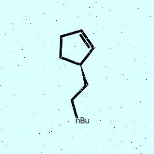 CCCCCC[C@@H]1C=CCC1